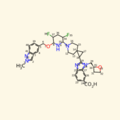 Cn1cc2cc(COC3NC(N4CCC5(CC4)CC5c4nc5ccc(C(=O)O)cc5n4C[C@@H]4CCO4)C(F)CC3F)ccc2n1